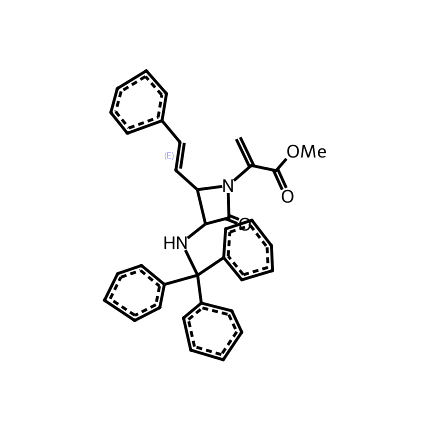 C=C(C(=O)OC)N1C(=O)C(NC(c2ccccc2)(c2ccccc2)c2ccccc2)C1/C=C/c1ccccc1